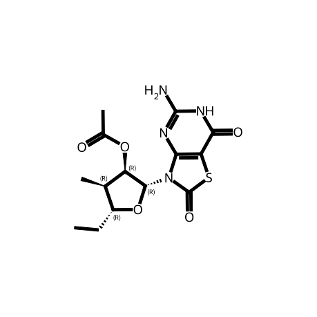 CC[C@H]1O[C@@H](n2c(=O)sc3c(=O)[nH]c(N)nc32)[C@H](OC(C)=O)[C@@H]1C